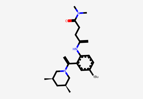 C=C(CCC(=O)N(C)C)Nc1ccc(C(C)(C)C)cc1C(=C)N1C[C@H](C)C[C@H](C)C1